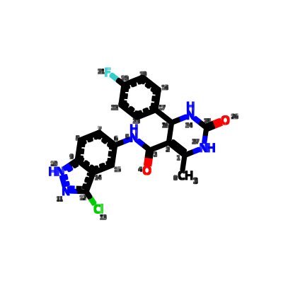 CC1=C(C(=O)Nc2ccc3[nH]nc(Cl)c3c2)C(c2ccc(F)cc2)NC(=O)N1